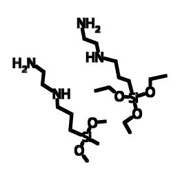 CCO[Si](CCCNCCN)(OCC)OCC.CO[Si](C)(CCCNCCN)OC